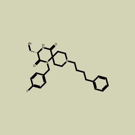 CC(C)C[C@@H]1NC(=O)C2(CCN(CCCCc3ccccc3)CC2)N(Cc2ccc(F)cc2)C1=O